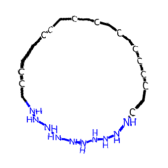 C1CCCCCCCCCCNNNNNNNNNNCCCCCCCCC1